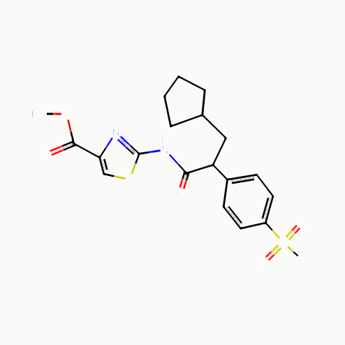 COC(=O)c1csc(NC(=O)C(CC2CCCC2)c2ccc(S(C)(=O)=O)cc2)n1